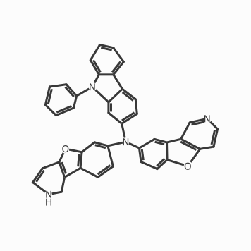 C1=Cc2oc3cc(N(c4ccc5oc6ccncc6c5c4)c4ccc5c6ccccc6n(-c6ccccc6)c5c4)ccc3c2CN1